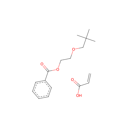 C=CC(=O)O.CC(C)(C)COCCOC(=O)c1ccccc1